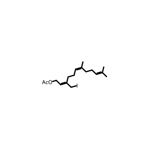 CC(=O)OCC=C(CI)CCC=C(C)CCC=C(C)C